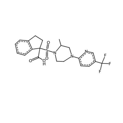 CC1CN(c2ccc(C(F)(F)F)cn2)CCN1S(=O)(=O)C1(C(=O)O)CCc2ccccc21